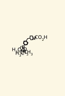 CC1(C)OB(c2ccc(CC3CCN(C(=O)O)CC3)cc2)OC1(C)C